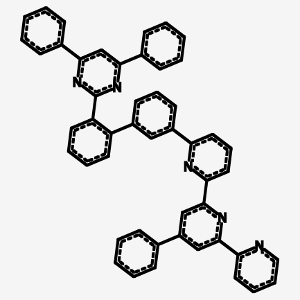 c1ccc(-c2cc(-c3ccccn3)nc(-c3cccc(-c4cccc(-c5ccccc5-c5nc(-c6ccccc6)cc(-c6ccccc6)n5)c4)n3)c2)cc1